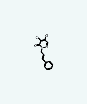 O=c1c(Cl)c(Cl)cnn1C/C=C/c1ccccc1